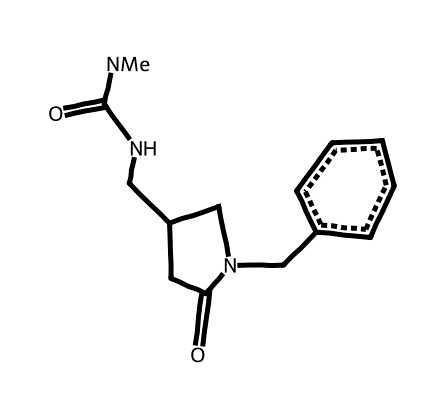 CNC(=O)NCC1CC(=O)N(Cc2ccccc2)C1